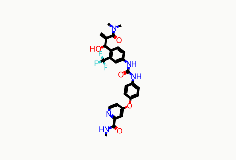 C=C(C(=O)N(C)C)C(O)c1ccc(NC(=O)Nc2ccc(Oc3ccnc(C(=O)NC)c3)cc2)cc1C(F)(F)F